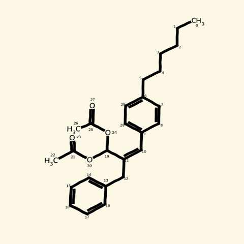 CCCCCCc1ccc(C=C(Cc2ccccc2)C(OC(C)=O)OC(C)=O)cc1